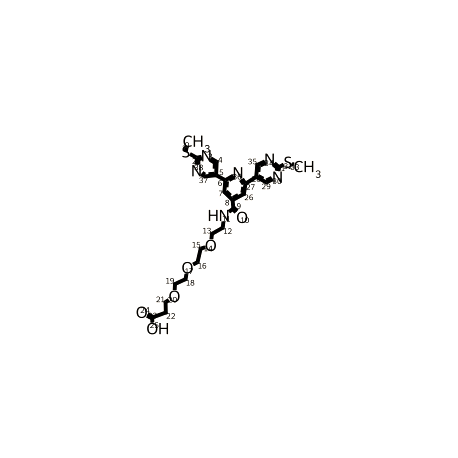 CSc1ncc(-c2cc(C(=O)NCCOCCOCCOCCC(=O)O)cc(-c3cnc(SC)nc3)n2)cn1